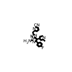 Cc1cc(-c2c(-c3ccc(F)cc3)nc(N)n3nc(Cc4cccc(C#N)n4)nc23)ccn1